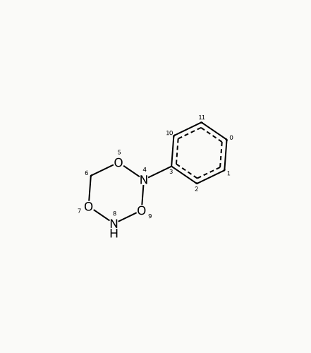 c1ccc(N2OCONO2)cc1